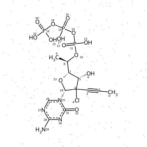 CC#CC1(Cl)[C@@H](O)[C@@H]([C@@H](C)OP(=O)(O)OP(=O)(O)OP(=O)(O)O)O[C@H]1n1cnc(N)nc1=O